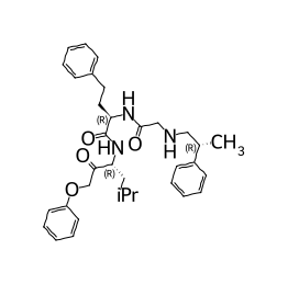 CC(C)C[C@@H](NC(=O)[C@@H](CCc1ccccc1)NC(=O)CNC[C@H](C)c1ccccc1)C(=O)COc1ccccc1